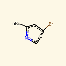 CCCCc1cc(Br)ccn1